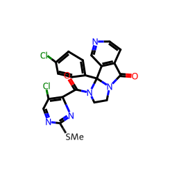 CSc1ncc(Cl)c(C(=O)N2CCN3C(=O)c4ccncc4C32c2ccc(Cl)cc2)n1